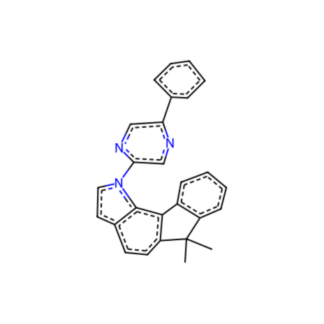 CC1(C)c2ccccc2-c2c1ccc1ccn(-c3cnc(-c4ccccc4)cn3)c21